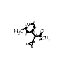 CC(=O)C(c1ccnc(C)c1)C1CC1